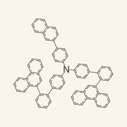 c1ccc(-c2cc3ccccc3c3ccccc23)c(-c2ccc(N(c3ccc(-c4ccc5ccccc5c4)cc3)c3ccc(-c4ccccc4-c4cc5ccccc5c5ccccc45)cc3)cc2)c1